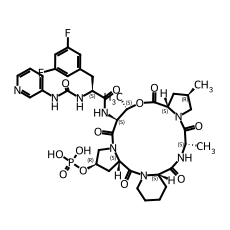 C[C@@H]1C[C@H]2C(=O)O[C@@H](C)[C@H](NC(=O)[C@H](Cc3cc(F)cc(F)c3)NC(=O)Nc3cccnc3)C(=O)N3C[C@H](OP(=O)(O)O)C[C@H]3C(=O)N3CCCC[C@H]3C(=O)N[C@@H](C)C(=O)N2C1